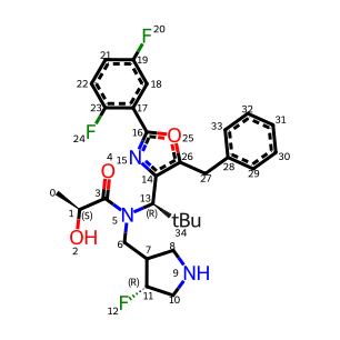 C[C@H](O)C(=O)N(CC1CNC[C@@H]1F)[C@@H](c1nc(-c2cc(F)ccc2F)oc1Cc1ccccc1)C(C)(C)C